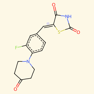 O=C1CCN(c2ccc(/C=C3\SC(=O)NC3=O)cc2F)CC1